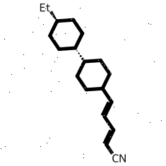 CC[C@H]1CC[C@H](C2CCC(/C=C/C=C/C#N)CC2)CC1